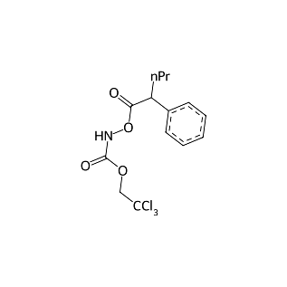 CCCC(C(=O)ONC(=O)OCC(Cl)(Cl)Cl)c1ccccc1